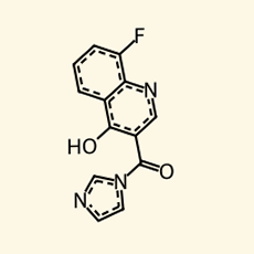 O=C(c1cnc2c(F)cccc2c1O)n1ccnc1